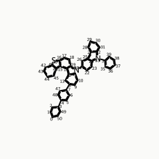 c1ccc(-c2ccc(-c3ccc4c(c3)c3c5c(ccc3n4-c3ccc4c(c3)c3ccccc3n4-c3ccccc3)sc3ccccc35)cc2)cc1